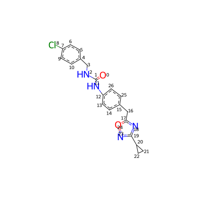 O=C(NCc1ccc(Cl)cc1)Nc1ccc(Cc2nc(C3CC3)no2)cc1